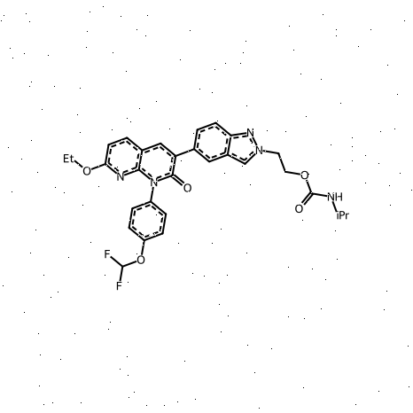 CCOc1ccc2cc(-c3ccc4nn(CCOC(=O)NC(C)C)cc4c3)c(=O)n(-c3ccc(OC(F)F)cc3)c2n1